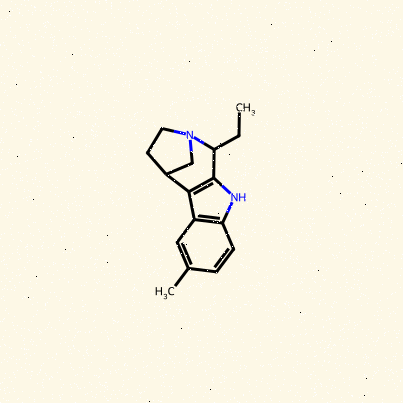 CCC1c2[nH]c3ccc(C)cc3c2C2CCN1C2